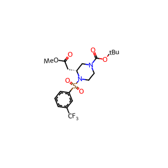 COC(=O)C[C@@H]1CN(C(=O)OC(C)(C)C)CCN1S(=O)(=O)c1cccc(C(F)(F)F)c1